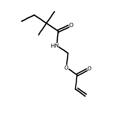 C=CC(=O)OCNC(=O)C(C)(C)CC